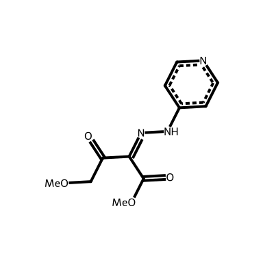 COCC(=O)C(=NNc1ccncc1)C(=O)OC